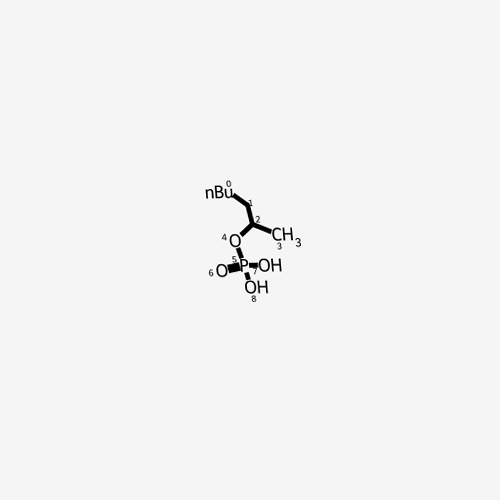 CCCCCC(C)OP(=O)(O)O